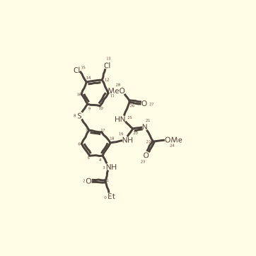 CCC(=O)Nc1ccc(Sc2ccc(Cl)c(Cl)c2)cc1NC(=NC(=O)OC)NC(=O)OC